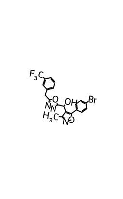 Cc1noc(-c2ccc(Br)cc2)c1C(O)c1nnc(Cc2cccc(C(F)(F)F)c2)o1